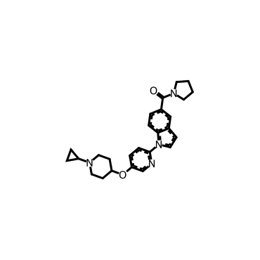 O=C(c1ccc2c(ccn2-c2ccc(OC3CCN(C4CC4)CC3)cn2)c1)N1CCCC1